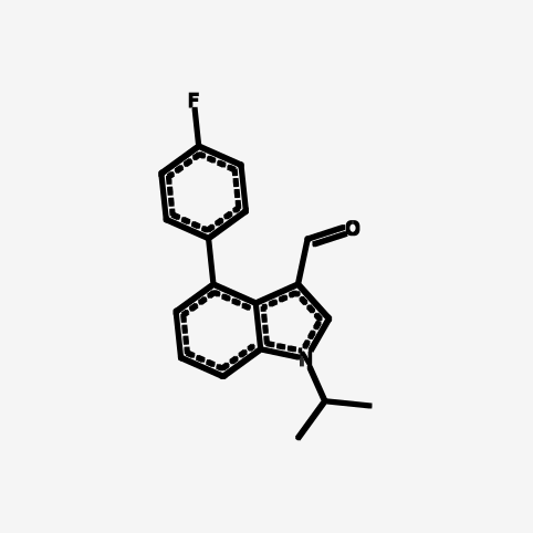 CC(C)n1cc(C=O)c2c(-c3ccc(F)cc3)cccc21